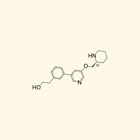 OCCc1cccc(-c2cncc(OC[C@@H]3CCCCN3)c2)c1